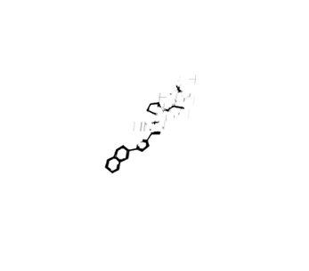 COC(=O)N[C@H](C(=O)N1CCC[C@H]1c1ncc(-c2ccc(-c3ccc4ccccc4c3)s2)[nH]1)C(C)C